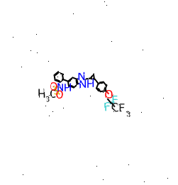 CS(=O)(=O)Nc1ccccc1-c1ccc2[nH]c(C3CC3c3ccc(OCC(F)(F)C(F)(F)F)cc3)nc2c1